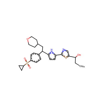 COCC(O)c1cnc(-c2ccc(C(CC3CCOCC3)c3ccc(S(=O)(=O)C4CC4)cc3)[nH]2)s1